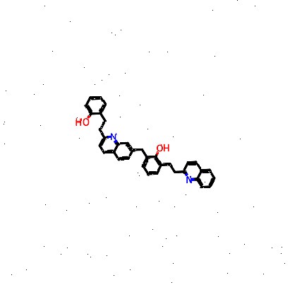 Oc1ccccc1CCc1ccc2ccc(Cc3cccc(CCc4ccc5ccccc5n4)c3O)cc2n1